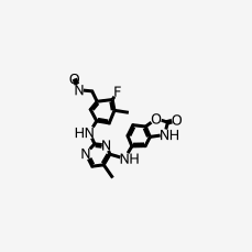 Cc1cnc(Nc2cc(C)c(F)c(CN=O)c2)nc1Nc1ccc2oc(=O)[nH]c2c1